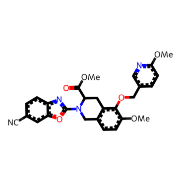 COC(=O)C1Cc2c(ccc(OC)c2OCc2ccc(OC)nc2)CN1c1nc2ccc(C#N)cc2o1